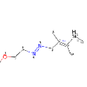 COCCN=NC/C(C)=C(\C)[SiH2]C